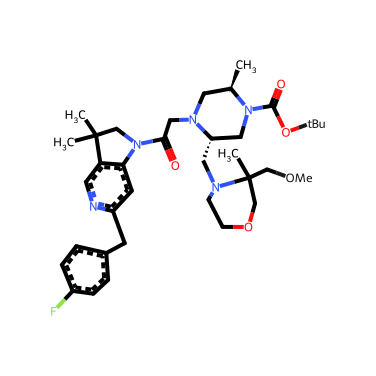 COCC1(C)COCCN1C[C@H]1CN(C(=O)OC(C)(C)C)[C@H](C)CN1CC(=O)N1CC(C)(C)c2cnc(Cc3ccc(F)cc3)cc21